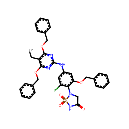 CC(C)Cc1c(OCc2ccccc2)nc(Nc2cc(F)c(N3CC(=O)NS3(=O)=O)c(OCc3ccccc3)c2)nc1OCc1ccccc1